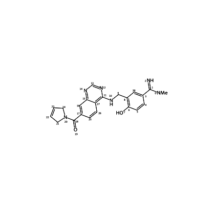 CNC(=N)c1ccc(O)c(CNc2ncnc3cc(C(=O)N4CC=CC4)ccc23)c1